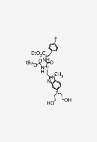 CCOC(=O)[C@H](Cc1ccc(F)cc1)NC(=O)[C@H](CCc1nc2cc(N(CCO)CCO)ccc2n1C)NC(=O)OC(C)(C)C